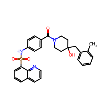 Cc1ccccc1CC1(O)CCN(C(=O)c2ccc(NS(=O)(=O)c3cccc4cccnc34)cc2)CC1